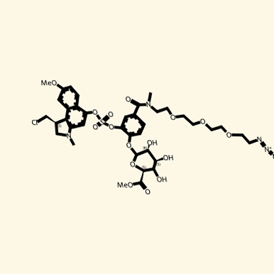 COC(=O)[C@H]1OC(Oc2ccc(C(=O)N(C)CCOCCOCCOCCN=[N+]=[N-])cc2OS(=O)(=O)Oc2cc3c(c4cc(OC)ccc24)[C@H](CCl)CN3C)[C@H](O)[C@@H](O)C1O